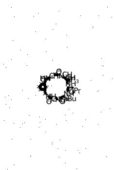 CC[C@H](C)[C@@H]1NC(=O)[C@H](CC(C)C)NC(=O)C(C)(C)NC(=O)CCNC(=O)c2cccc(c2)CNC(=O)CNC1=O